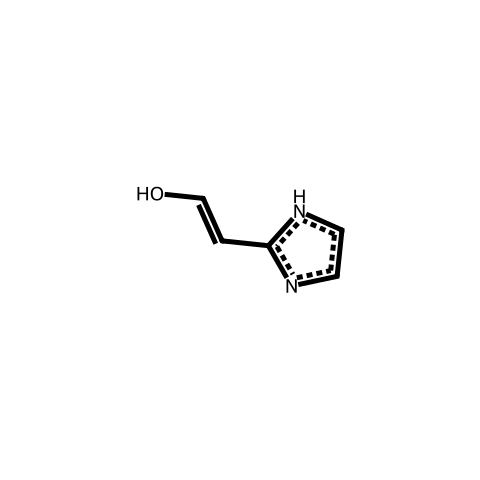 OC=Cc1ncc[nH]1